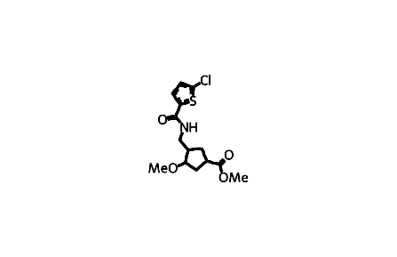 COC(=O)C1CC(CNC(=O)c2ccc(Cl)s2)C(OC)C1